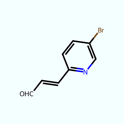 O=CC=Cc1ccc(Br)cn1